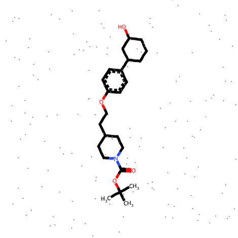 CC(C)(C)OC(=O)N1CCC(CCOc2ccc(C3CCCC(O)C3)cc2)CC1